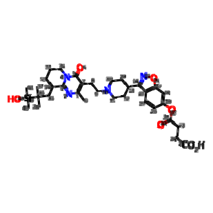 Cc1nc2n(c(=O)c1CCN1CCC(c3noc4cc(OC(=O)CCC(=O)O)ccc34)CC1)CCCC2CC(C)(C)[Si](C)(C)O